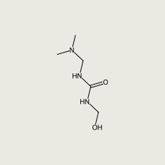 CN(C)CNC(=O)NCO